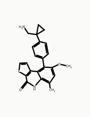 COc1cc(C)c2[nH]c(=O)c3sccc3c2c1-c1ccc(C2(CN)CC2)cc1